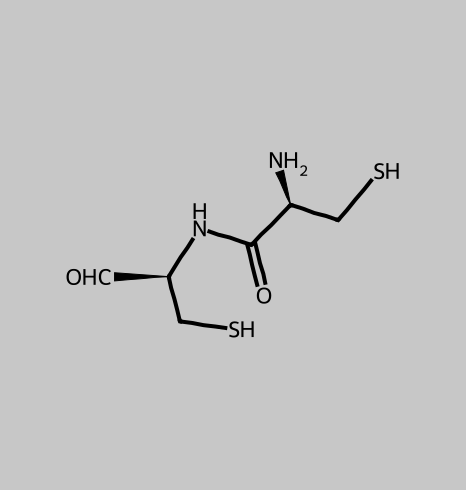 N[C@@H](CS)C(=O)N[C@H](C=O)CS